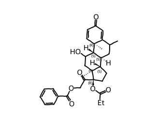 CCC(=O)O[C@]1(C(=O)COC(=O)c2ccccc2)CC[C@H]2[C@@H]3CC(C)C4=CC(=O)C=C[C@]4(C)[C@H]3C(O)C[C@@]21C